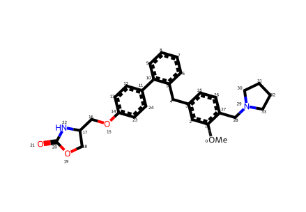 COc1cc(Cc2ccccc2-c2ccc(OCC3COC(=O)N3)cc2)ccc1CN1CCCC1